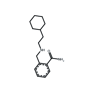 NC(=O)c1ccccc1CNCCC1CCCCC1